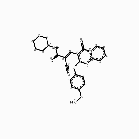 CCc1ccc(Oc2nc3ccccn3c(=O)c2/C=C(\C#N)C(=O)NC2CCCCC2)cc1